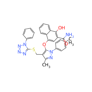 Cc1ccc(-n2nc(C)c(CSc3nnnn3-c3ccccc3)c2Oc2cc(C(N)=O)c(O)c3ccccc23)cc1